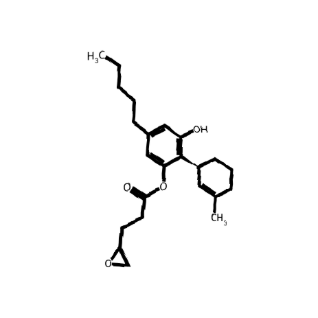 CCCCCc1cc(O)c([C@@H]2C=C(C)CCC2)c(OC(=O)CCC2CO2)c1